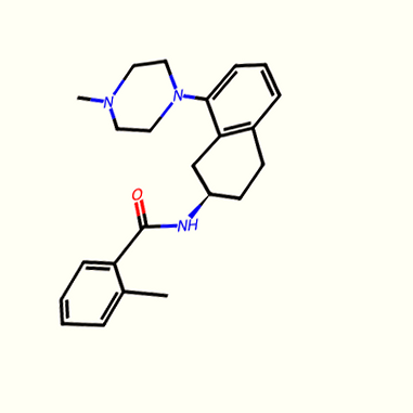 Cc1ccccc1C(=O)N[C@@H]1CCc2cccc(N3CCN(C)CC3)c2C1